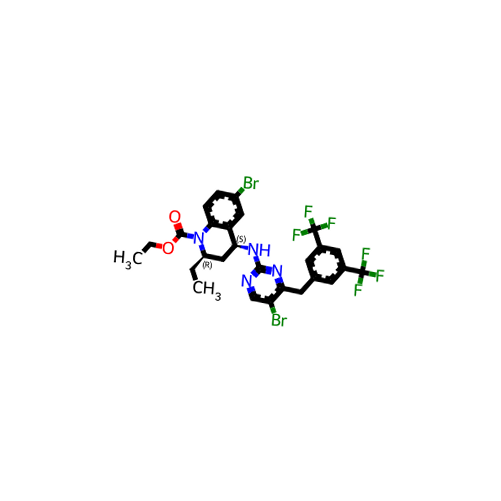 CCOC(=O)N1c2ccc(Br)cc2[C@@H](Nc2ncc(Br)c(Cc3cc(C(F)(F)F)cc(C(F)(F)F)c3)n2)C[C@H]1CC